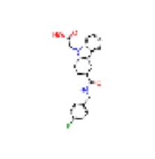 O=C(O)Cn1c2c(c3ccccc31)CC(C(=O)NCc1ccc(F)cc1)CC2